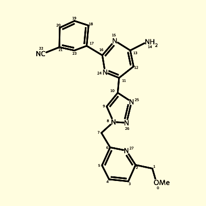 COCc1cccc(Cn2cc(-c3cc(N)nc(-c4cccc(C#N)c4)n3)nn2)n1